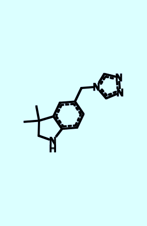 CC1(C)CNc2ccc(Cn3cnnc3)cc21